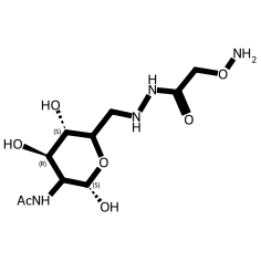 CC(=O)NC1[C@@H](O)[C@H](O)C(CNNC(=O)CON)O[C@@H]1O